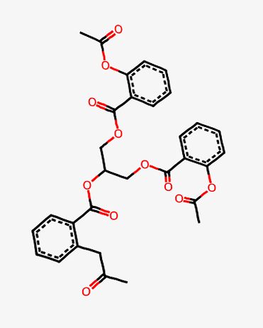 CC(=O)Cc1ccccc1C(=O)OC(COC(=O)c1ccccc1OC(C)=O)COC(=O)c1ccccc1OC(C)=O